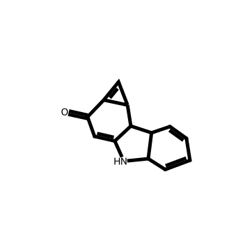 O=C1C=C2NC3C=CC=CC3C2C2C=C12